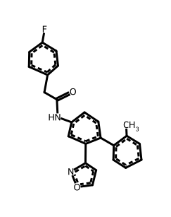 Cc1ccccc1-c1ccc(NC(=O)Cc2ccc(F)cc2)cc1-c1ccon1